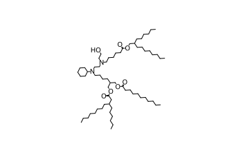 CCCCCCCCCCC(=O)OCC(CCCCN(CCN(CCO)CCCCCC(=O)OCC(CCCCCC)CCCCCCCC)C1CCCCC1)COC(=O)CC(CCCCCC)CCCCCCCC